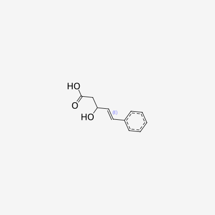 O=C(O)CC(O)/C=C/c1ccccc1